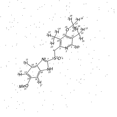 [2H]c1nc(C[S+]([O-])c2nc3c([2H])c([2H])c(OC)c([2H])c3[nH]2)c(C([2H])([2H])[2H])c(OC([2H])([2H])[2H])c1C([2H])([2H])[2H]